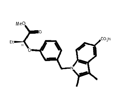 CC[C@H](Oc1cccc(Cn2c(C)c(C)c3cc(C(=O)O)ccc32)c1)C(=O)OC